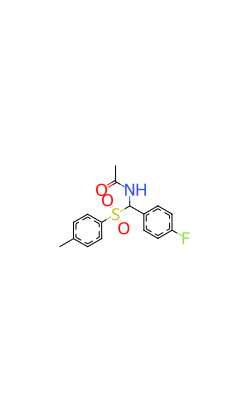 CC(=O)NC(c1ccc(F)cc1)S(=O)(=O)c1ccc(C)cc1